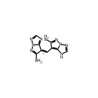 Bc1nn2nc[nH]c2c1/C=c1/c(B)nn2ncnc12